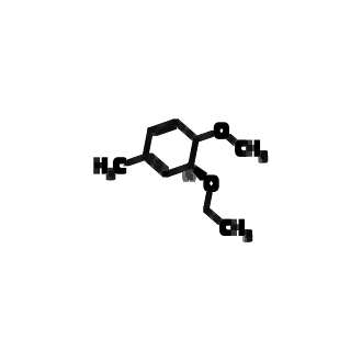 CCO[C@H]1C=C(C)C=CC1OC